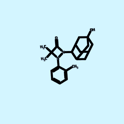 Cc1ccccc1N1N(C2C3CC4CC2CC(O)(C4)C3)C(=O)C1(C)C